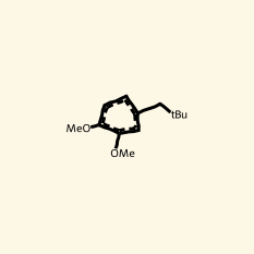 COc1ccc(CC(C)(C)C)cc1OC